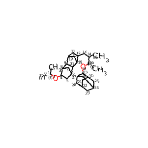 CC(C)[C@H](C)OC1CC2CC1C1C3CC(CC(C)[C@H](C)OC4C5CC6CC(C5)CC4C6)C(C3)C21